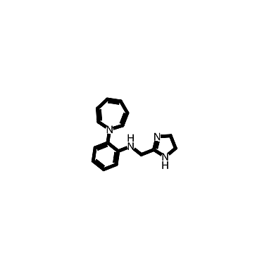 C1=CC=CN(c2ccccc2NCC2=NCCN2)C=C1